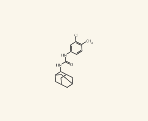 Cc1ccc(NC(=O)NC2C3CC4CC(C3)CC2C4)cc1Cl